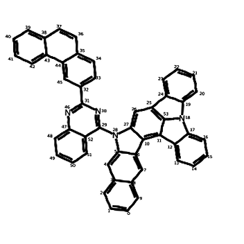 c1ccc2cc3c(cc2c1)c1c2c4ccccc4n4c5ccccc5c(cc1n3-c1nc(-c3ccc5ccc6ccccc6c5c3)nc3ccccc13)c24